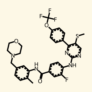 CSc1cnc(Nc2ccc(C(=O)Nc3cc(CN4CCOCC4)ccc3C)cc2F)nc1-c1ccc(OC(F)(F)F)cc1